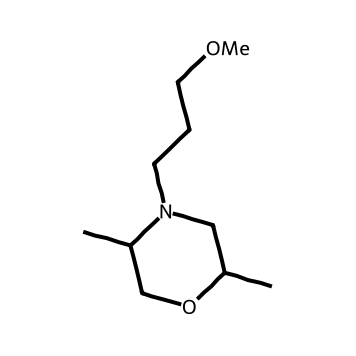 COCCCN1CC(C)OCC1C